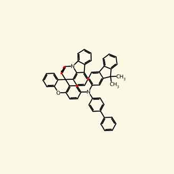 CC1(C)c2ccccc2-c2ccc(N(c3ccc(-c4ccccc4)cc3)c3ccc4c(c3)C3(c5ccccc5O4)c4ccccc4-n4c5ccccc5c5cccc3c54)cc21